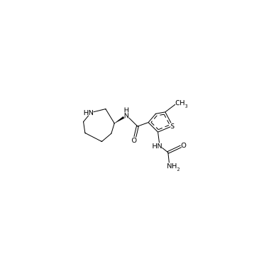 Cc1cc(C(=O)N[C@H]2CCCCNC2)c(NC(N)=O)s1